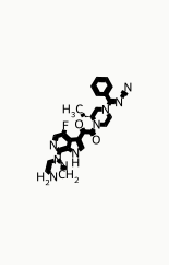 C=NN(/C=C\N)c1ncc(F)c2c(C(=O)C(=O)N3CCN(/C(=N/C#N)c4ccccc4)C[C@H]3CC)c[nH]c12